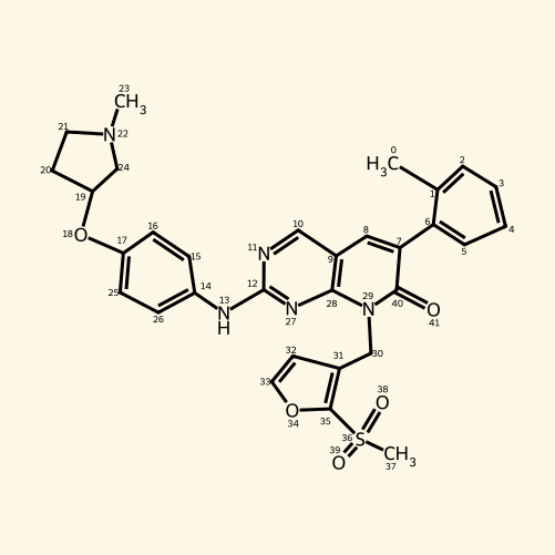 Cc1ccccc1-c1cc2cnc(Nc3ccc(OC4CCN(C)C4)cc3)nc2n(Cc2ccoc2S(C)(=O)=O)c1=O